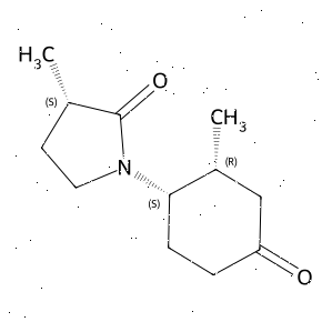 C[C@@H]1CC(=O)CC[C@@H]1N1CC[C@H](C)C1=O